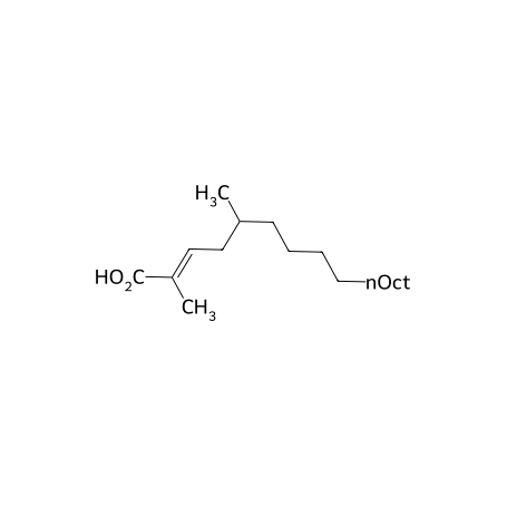 CCCCCCCCCCCCC(C)CC=C(C)C(=O)O